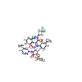 CC(C)(C)[Si](C)(C)O[C@@H]1C[C@@H](C(=O)N(c2cccc(C#N)c2)C(C(=O)NC2CC(F)(F)C2)c2ccccc2Cl)N(c2cc(C#N)ccn2)C1=O